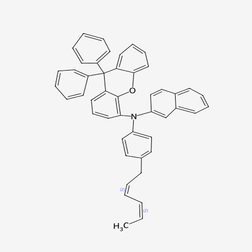 C/C=C\C=C/Cc1ccc(N(c2ccc3ccccc3c2)c2cccc3c2Oc2ccccc2C3(c2ccccc2)c2ccccc2)cc1